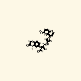 COc1ccc2nccc(N3CC(NC[C@H]4COC(=O)N4c4ccc5c(c4)NC(=O)CS5)C3)c2n1